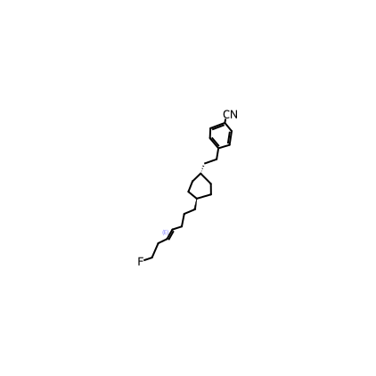 N#Cc1ccc(CC[C@H]2CC[C@H](CCC/C=C/CCF)CC2)cc1